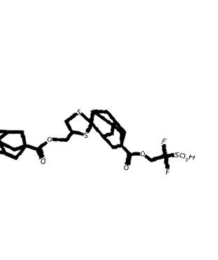 O=C1C2CC3CC1CC(C(=O)OCC1CSC4(S1)C1CC5CC4CC(C(=O)OCC(F)(F)S(=O)(=O)O)(C5)C1)(C3)C2